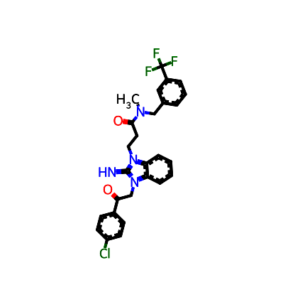 CN(Cc1cccc(C(F)(F)F)c1)C(=O)CCn1c(=N)n(CC(=O)c2ccc(Cl)cc2)c2ccccc21